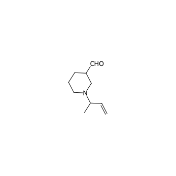 C=CC(C)N1CCCC(C=O)C1